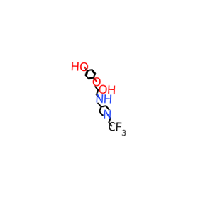 Oc1ccc(OC[C@@H](O)CNCC2CCN(CCC(F)(F)F)CC2)cc1